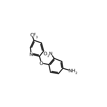 Nc1ccc(Oc2ccc(C(F)(F)F)cn2)c([N+](=O)[O-])c1